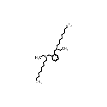 CCCCCCCCCN(CC)Cc1ccccc1CN(CC)CCCCCCCCC